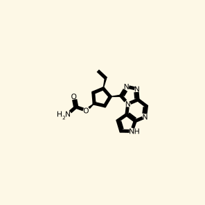 CC[C@@H]1C[C@H](OC(N)=O)C[C@@H]1c1nnc2cnc3[nH]ccc3n12